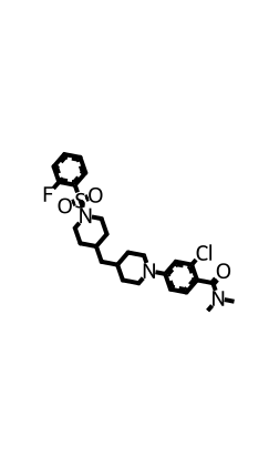 CN(C)C(=O)c1ccc(N2CCC(CC3CCN(S(=O)(=O)c4ccccc4F)CC3)CC2)cc1Cl